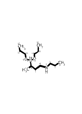 CCCNCCC(C)[SiH](OCCC)OCCC